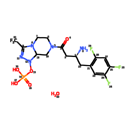 N[C@@H](CC(=O)N1CCN2C(C(F)(F)F)=NN(OP(=O)(O)O)C2C1)Cc1cc(F)c(F)cc1F.O